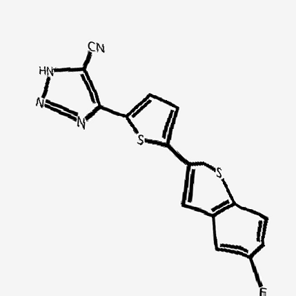 N#Cc1[nH]nnc1-c1ccc(-c2cc3cc(F)ccc3s2)s1